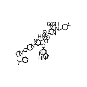 CC(C)c1ccccc1[C@@H]1CCCN1C1CC2(CCN(c3cc(Oc4cnc5[nH]ccc5c4)c(C(=O)NS(=O)(=O)c4cnc(NCC5CCC(C)(C)CC5)c([N+](=O)[O-])c4)cn3)CC2)C1